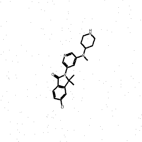 CN(c1cncc(N2C(=O)c3ccc(Cl)cc3C2(C)C)c1)C1CCNCC1